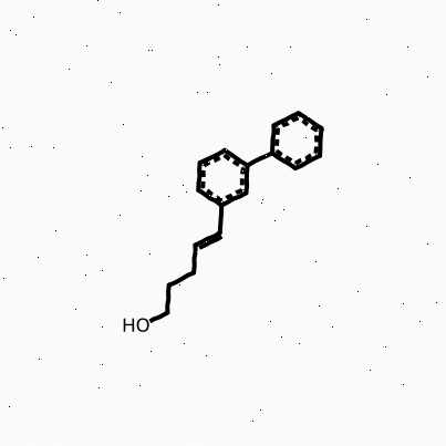 OCCCC=Cc1cccc(-c2ccccc2)c1